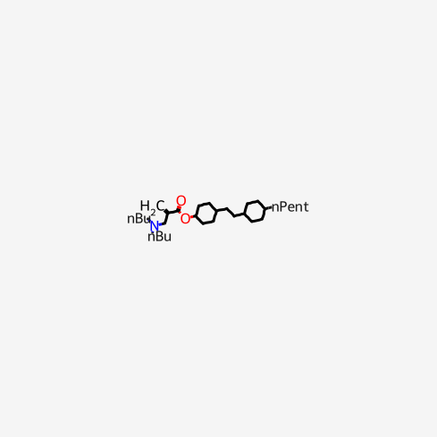 C=C(CN(CCCC)CCCC)C(=O)OC1CCC(CCC2CCC(CCCCC)CC2)CC1